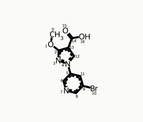 COc1nn(-c2cncc(Br)c2)cc1C(=O)O